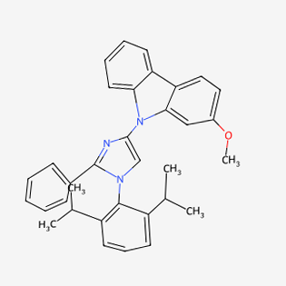 COc1ccc2c3ccccc3n(-c3cn(-c4c(C(C)C)cccc4C(C)C)c(-c4ccccc4)n3)c2c1